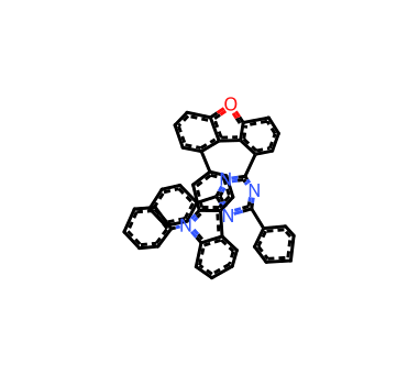 c1ccc(-c2nc(-c3ccccc3)nc(-c3cccc4oc5cccc(-c6ccc7c8ccccc8n(-c8ccccc8)c7c6)c5c34)n2)cc1